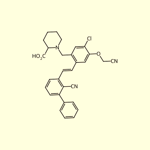 N#CCOc1cc(/C=C/c2cccc(-c3ccccc3)c2C#N)c(CN2CCCCC2C(=O)O)cc1Cl